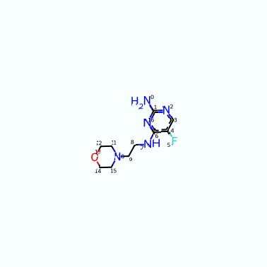 Nc1ncc(F)c(NCCN2CCOCC2)n1